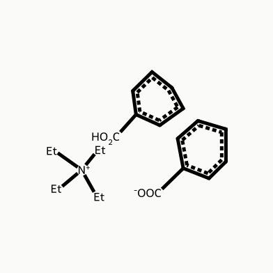 CC[N+](CC)(CC)CC.O=C(O)c1ccccc1.O=C([O-])c1ccccc1